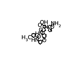 Cc1cccc(C(=O)Nc2cccc(Oc3ccc4c(c3)NC(=O)C4=Cc3cc(C(=O)O)cn3C(CC(N)=O)N3CCCC3)c2)c1